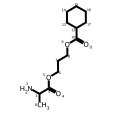 CC(N)C(=O)OCCCOC(=O)C1CCCCC1